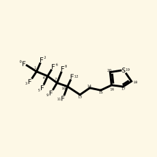 FC(F)(F)C(F)(F)C(F)(F)C(F)(F)CCCc1ccsc1